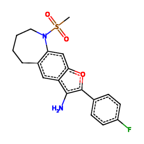 CS(=O)(=O)N1CCCCc2cc3c(N)c(-c4ccc(F)cc4)oc3cc21